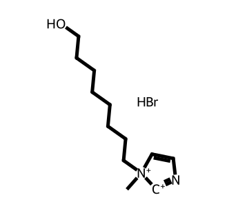 Br.C[N+]1(CCCCCCCCO)[C+]=NC=C1